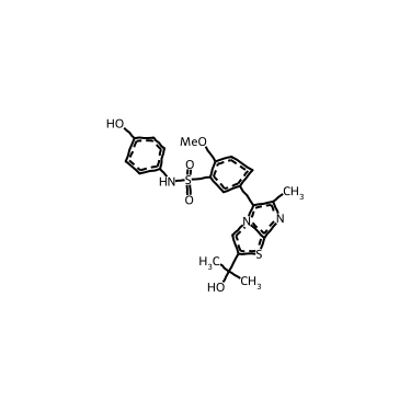 COc1ccc(-c2c(C)nc3sc(C(C)(C)O)cn23)cc1S(=O)(=O)Nc1ccc(O)cc1